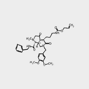 C=CCOC(=O)NCCC[C@H]1C(=O)N(Cc2ccc(OC)c(OC)c2)C[C@H]2N1C(=O)CN(C)N2C(=O)NCc1ccccc1